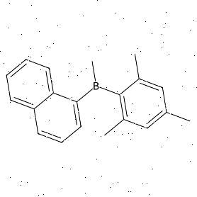 CB(c1c(C)cc(C)cc1C)c1cccc2ccccc12